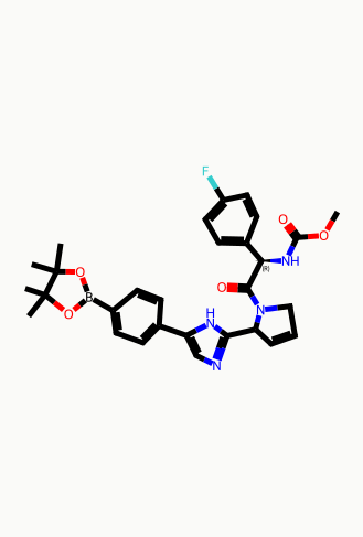 COC(=O)N[C@@H](C(=O)N1CC=CC1c1ncc(-c2ccc(B3OC(C)(C)C(C)(C)O3)cc2)[nH]1)c1ccc(F)cc1